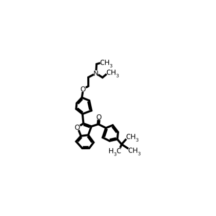 CCN(CC)CCOc1ccc(-c2oc3ccccc3c2C(=O)c2ccc(C(C)(C)C)cc2)cc1